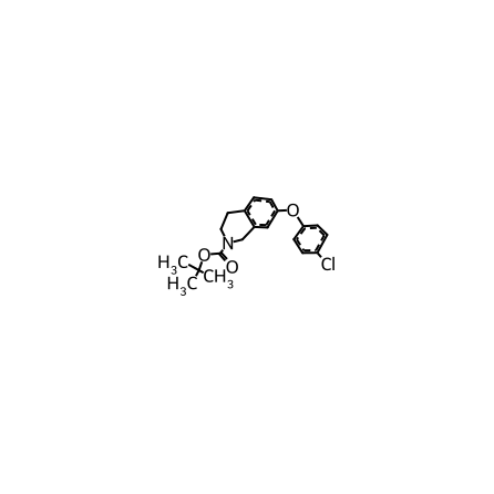 CC(C)(C)OC(=O)N1CCc2ccc(Oc3ccc(Cl)cc3)cc2C1